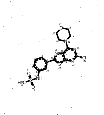 CS(=O)(=O)Nc1cccc(-c2nc3c(N4CCOCC4)nc(Cl)nc3s2)c1